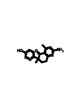 Cc1cc(N)nc2c1C(=O)C(C)(c1ccc(O)nn1)CC2